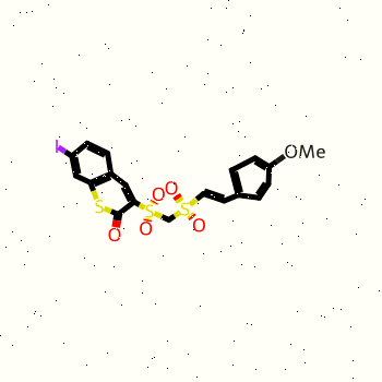 COc1ccc(/C=C/S(=O)(=O)CS(=O)(=O)c2cc3ccc(I)cc3sc2=O)cc1